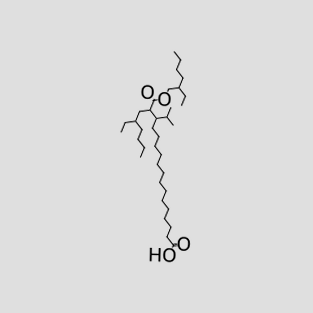 CCCCC(CC)COC(=O)C(CC(CC)CCCC)C(CCCCCCCCCCCCCC(=O)O)C(C)C